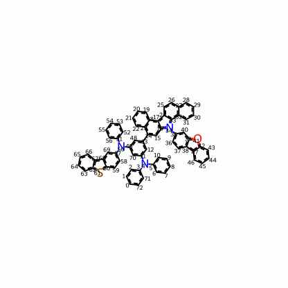 c1ccc(N(c2ccccc2)c2cc(-c3cc4c(c5ccccc35)c3ccc5ccccc5c3n4-c3ccc4c(c3)oc3ccccc34)cc(N(c3ccccc3)c3ccc4sc5ccccc5c4c3)c2)cc1